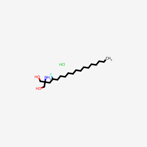 CCCCCCCCCCCCCCC(F)CC(N)(CO)CO.Cl